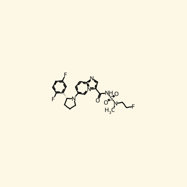 CN(CCF)S(=O)(=O)NC(=O)c1cnc2ccc(N3CCC[C@@H]3c3cc(F)ccc3F)cn12